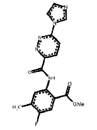 COC(=O)c1cc(F)c(C)cc1NC(=O)c1ccc(-n2ccnc2)nn1